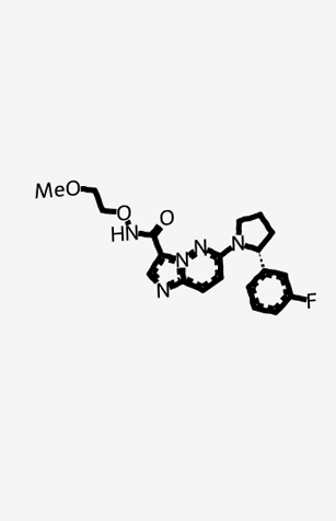 COCCONC(=O)c1cnc2ccc(N3CCC[C@@H]3c3cccc(F)c3)nn12